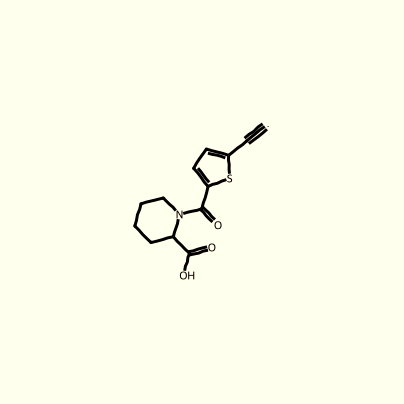 [C]#Cc1ccc(C(=O)N2CCCCC2C(=O)O)s1